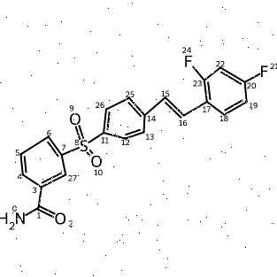 NC(=O)c1cccc(S(=O)(=O)c2ccc(C=Cc3ccc(F)cc3F)cc2)c1